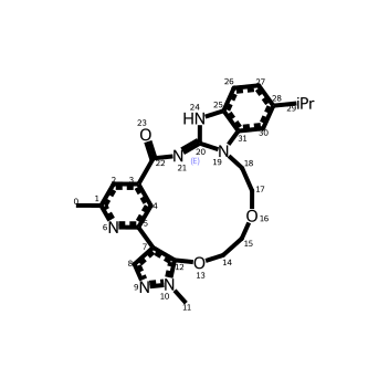 Cc1cc2cc(n1)-c1cnn(C)c1OCCOCCN1/C(=N/C2=O)Nc2ccc(C(C)C)cc21